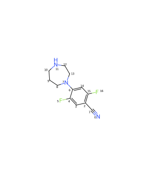 N#Cc1cc(F)c(N2CCCNCC2)cc1F